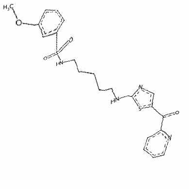 COc1cccc(S(=O)(=O)NCCCCCNc2ncc(C(=O)c3ccccn3)s2)c1